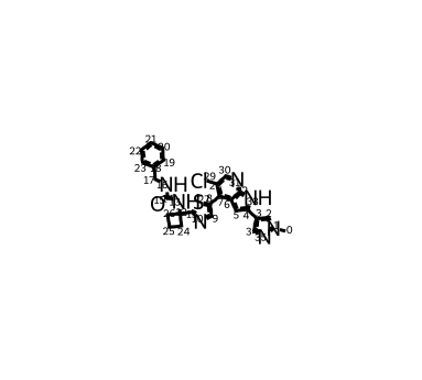 Cn1cc(-c2cc3c(-c4cnc(C5(NC(=O)NCc6ccccc6)CCC5)s4)c(Cl)cnc3[nH]2)cn1